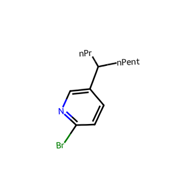 CCCCCC(CCC)c1ccc(Br)nc1